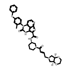 Cc1cc(Oc2ccccc2)ccc1N1C(=O)Nc2c(C(=O)N[C@@H]3CCCN(C(=O)/C=C/CN4C[C@@H]5OCCO[C@@H]5C4)C3)sc3nccc1c23